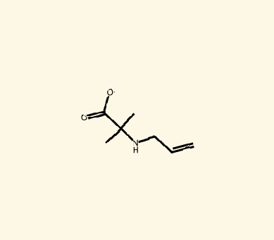 C=CCNC(C)(C)C([O])=O